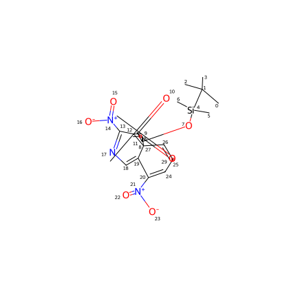 CC(C)(C)[Si](C)(C)OC1C(=O)C=C2C([N+](=O)[O-])=NC=C3C([N+](=O)[O-])=CC=CC32C1=O